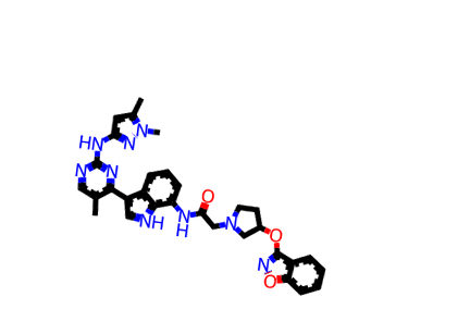 Cc1cnc(Nc2cc(C)n(C)n2)nc1-c1c[nH]c2c(NC(=O)CN3CCC(Oc4noc5ccccc45)C3)cccc12